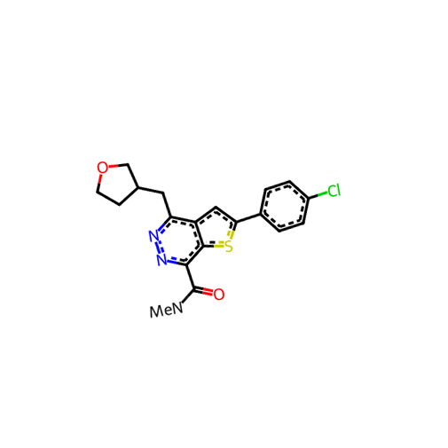 CNC(=O)c1nnc(CC2CCOC2)c2cc(-c3ccc(Cl)cc3)sc12